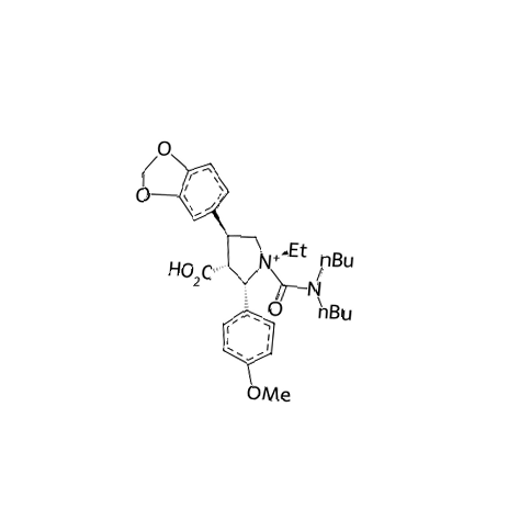 CCCCN(CCCC)C(=O)[N@@+]1(CC)C[C@H](c2ccc3c(c2)OCO3)[C@@H](C(=O)O)[C@H]1c1ccc(OC)cc1